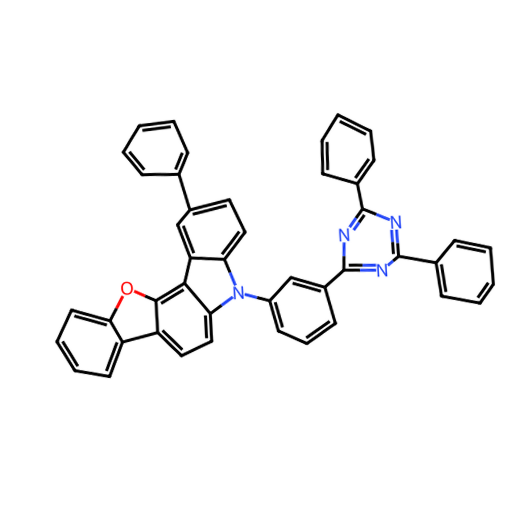 c1ccc(-c2ccc3c(c2)c2c4oc5ccccc5c4ccc2n3-c2cccc(-c3nc(-c4ccccc4)nc(-c4ccccc4)n3)c2)cc1